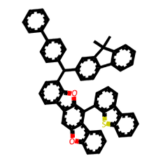 CC1(C)c2ccccc2-c2ccc(C(c3ccc(-c4ccccc4)cc3)c3cccc4c3oc3c(-c5cccc6c5sc5ccccc56)c5c(cc34)oc3ccccc35)cc21